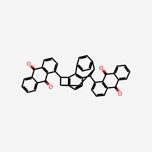 O=C1c2ccccc2C(=O)c2c1cccc2C1c2c3c4c5c(c2C5C4c2cccc4c2C(=O)c2ccccc2C4=O)C1c1ccc-3cc1